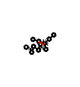 C1=CCCC(n2c3ccccc3c3c(-c4cccc5c4c4ccccc4n5-c4ccccc4-c4nc(-c5ccc(-c6ccccc6)cc5)nc(-c5ccc(-c6ccccc6)cc5)n4)cccc32)=C1